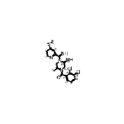 CC1CN(C(=N)c2cc(SF)ccn2)C(=N)CN1C(=O)c1cccc(Cl)c1Cl